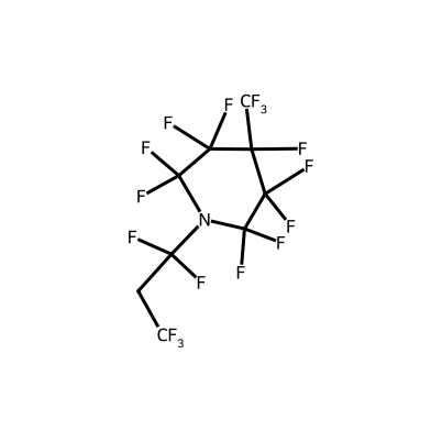 FC(F)(F)CC(F)(F)N1C(F)(F)C(F)(F)C(F)(C(F)(F)F)C(F)(F)C1(F)F